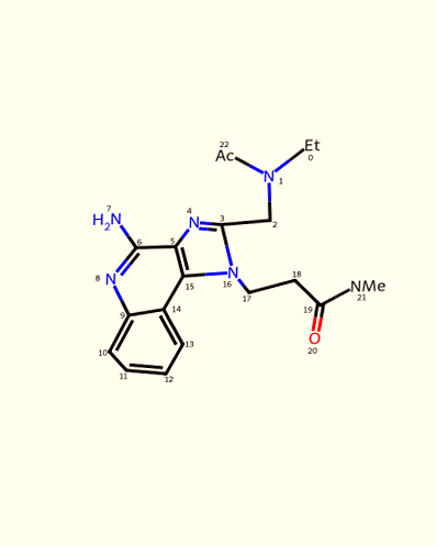 CCN(Cc1nc2c(N)nc3ccccc3c2n1CCC(=O)NC)C(C)=O